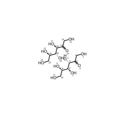 O=C(CO)[C@@H](O)[C@@H](O)[C@H](O)CO.O=C(CO)[C@H](O)[C@H](O)[C@H](O)CO